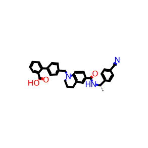 C[C@H](NC(=O)c1ccc2c(c1)CCCN2Cc1ccc(-c2ccccc2C(=O)O)cc1)c1ccc(C#N)cc1